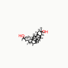 CCC[C@](C)(O)CC[C@@H](C)C1CC[C@H]2[C@@H]3CC=C4C[C@@](C)(O)CC[C@]4(C)[C@H]3CC[C@]12C